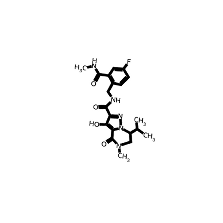 CNC(=O)c1cc(F)ccc1CNC(=O)c1nn2c(c1O)C(=O)N(C)CC2C(C)C